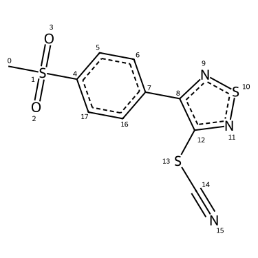 CS(=O)(=O)c1ccc(-c2nsnc2SC#N)cc1